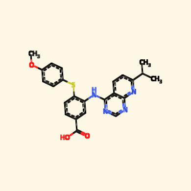 COc1ccc(Sc2ccc(C(=O)O)cc2Nc2ncnc3nc(C(C)C)ccc23)cc1